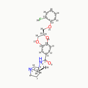 O=C(N[C@H]1CN2CCC1CC2)c1ccc2c(c1)OC[C@@H](COc1ccccc1F)O2